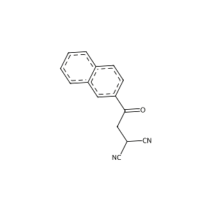 N#CC(C#N)CC(=O)c1ccc2ccccc2c1